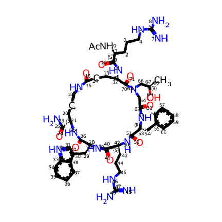 CC(=O)N[C@@H](CCCNC(=N)N)C(=O)N[C@H]1CCC(=O)NCCC[C@@H](C(N)=O)NC(=O)[C@H](Cc2c[nH]c3ccccc23)NC(=O)[C@H](CCCNC(=N)N)NC(=O)[C@@H](Cc2ccccc2)NC(=O)CN(C[C@@H](C)O)C1=O